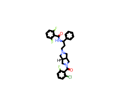 O=C(NC(CCN1CC2CN(C(=O)c3c(F)cccc3Cl)C[C@@H]2C1)c1ccccc1)c1c(F)cccc1F